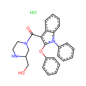 Cl.O=C(c1c(Oc2ccccc2)n(-c2ccccc2)c2ccccc12)N1CCNC(CO)C1